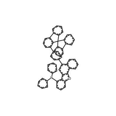 c1ccc(N(c2ccccc2)c2cccc3oc4c5ccccc5c(-c5ccc(-c6cccc7c6C6(c8ccccc8-c8ccccc86)c6ccccc6-7)cc5)cc4c23)cc1